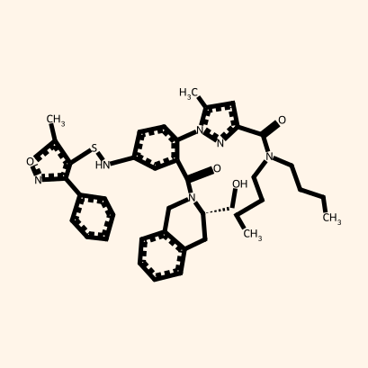 CCCCN(CCCC)C(=O)c1cc(C)n(-c2ccc(NSc3c(-c4ccccc4)noc3C)cc2C(=O)N2Cc3ccccc3C[C@H]2CO)n1